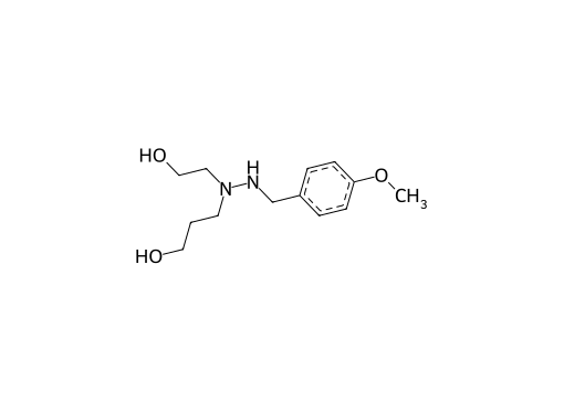 COc1ccc(CNN(CCO)CCCO)cc1